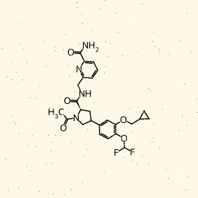 CC(=O)N1CC(c2ccc(OC(F)F)c(OCC3CC3)c2)C[C@@H]1C(=O)NCc1cccc(C(N)=O)n1